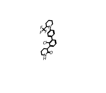 O=C1NCCCC1c1cccc(-c2ccc(N3CCCCC3C(F)(F)F)cc2)c1Cl